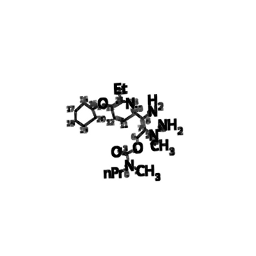 CCCN(C)C(=O)OC/C(=C(/N)c1ccc(OC2CCCCC2)c(CC)n1)N(C)N